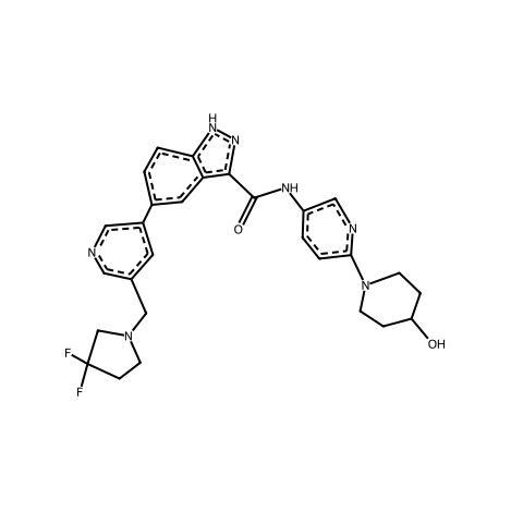 O=C(Nc1ccc(N2CCC(O)CC2)nc1)c1n[nH]c2ccc(-c3cncc(CN4CCC(F)(F)C4)c3)cc12